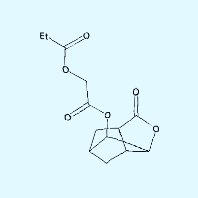 CCC(=O)OCC(=O)OC1C2CC3C(=O)OC1C3C2